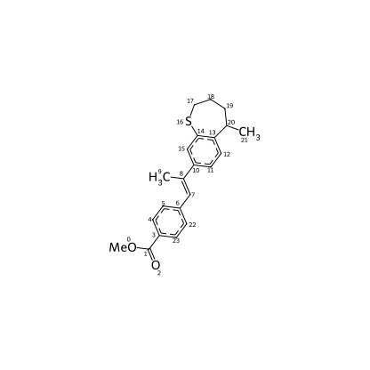 COC(=O)c1ccc(C=C(C)c2ccc3c(c2)SCCCC3C)cc1